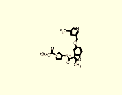 Cc1oc2ccc(OCc3cncc(C(F)(F)F)c3)cc2c1C(=O)NC1CCN(C(=O)OC(C)(C)C)C1